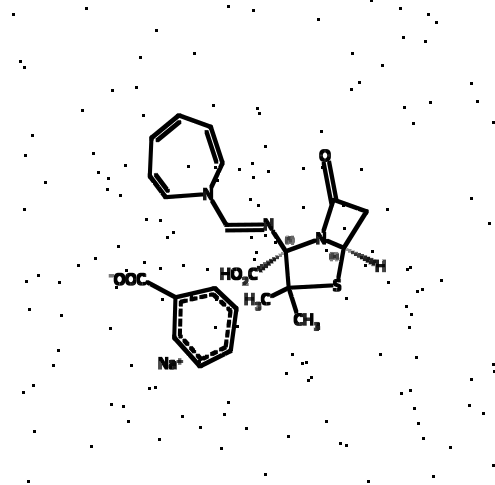 CC1(C)S[C@@H]2CC(=O)N2[C@@]1(N=CN1C=CC=CC=C1)C(=O)O.O=C([O-])c1ccccc1.[Na+]